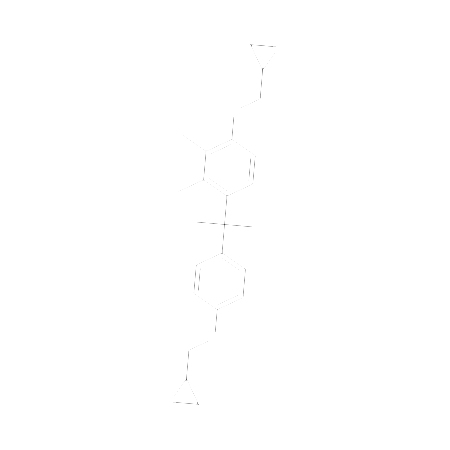 Cc1c(OCC2CO2)ccc(C(C)(C)c2ccc(OCC3CO3)cc2)c1C